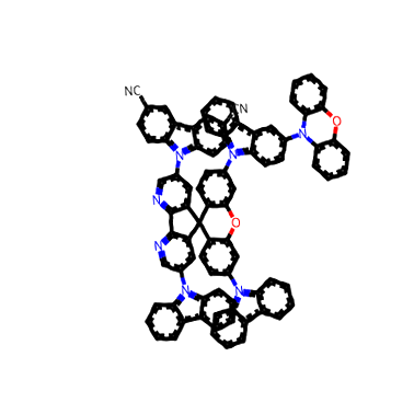 N#Cc1ccc2c(c1)c1cc(C#N)ccc1n2-c1cnc2c(c1)C1(c3ccc(-n4c5ccccc5c5ccccc54)cc3Oc3cc(-n4c5ccccc5c5cc(N6c7ccccc7Oc7ccccc76)ccc54)ccc31)c1cc(-n3c4ccccc4c4ccccc43)cnc1-2